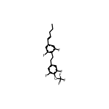 CCCC=Cc1cc(F)c(CCc2cc(F)c(OC(F)(F)F)c(F)c2)c(F)c1